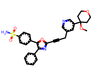 COC1(c2cncc(CC#Cc3nc(-c4ccccc4)c(-c4ccc(S(N)(=O)=O)cc4)o3)c2)CCOCC1